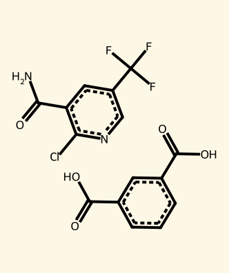 NC(=O)c1cc(C(F)(F)F)cnc1Cl.O=C(O)c1cccc(C(=O)O)c1